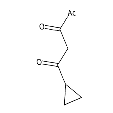 CC(=O)C(=O)CC(=O)C1CC1